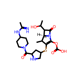 CC(=N)NC1CCN(C(=O)C2CC(SC3=C(OC(=O)O)N4C(=O)C(C(C)O)[C@@H]4C3C)CN2)CC1